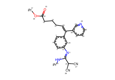 CC(C)NC(=Nc1cccc(/C(=C\CCCC(=O)OC(C)C)c2cccnc2)c1)C(C#N)C#N